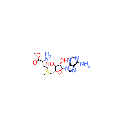 COC(=O)[C@@H](N)CC[S+](C)C[C@H]1O[C@@H](n2cnc3c(N)ncnc32)[C@H](O)[C@@H]1O